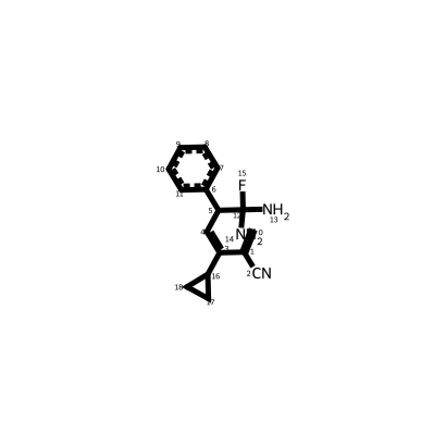 C=C(C#N)/C(=C\C(c1ccccc1)C(N)(N)F)C1CC1